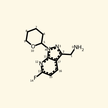 NCc1nn(C2CCCCO2)c2nc(F)ccc12